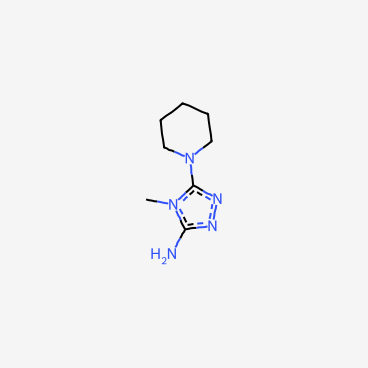 Cn1c(N)nnc1N1CCCCC1